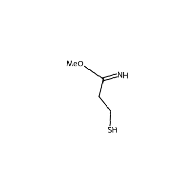 COC(=N)CCS